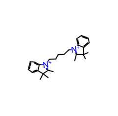 CC1=[N+](CCCCC[N+]2=C(C)C(C)(C)c3ccccc32)c2ccccc2C1(C)C